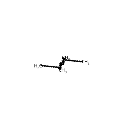 CCCCCCCCCCCCCCCCCCCCc1cc(C)sc1-c1cc2ccc3c(ccc4cc(-c5sc(C)cc5CCCCCCCCCCCCCCCCCCCC)sc43)c2s1